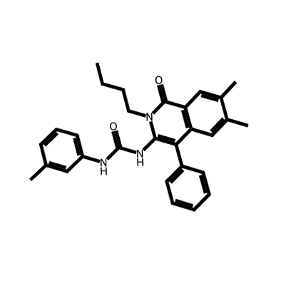 CCCCn1c(NC(=O)Nc2cccc(C)c2)c(-c2ccccc2)c2cc(C)c(C)cc2c1=O